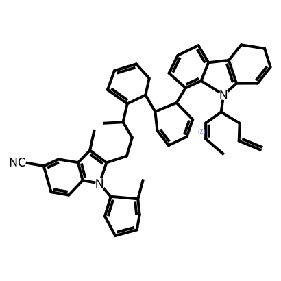 C=CCC(/C=C\C)n1c2c(c3cccc(C4C=CC=CC4C4CC=CC=C4C(C)CCc4c(C)c5cc(C#N)ccc5n4-c4ccccc4C)c31)CCC=C2